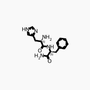 NC(=O)[C@H](Cc1ccccc1)NC(=O)[C@@H](N)Cc1c[nH]cn1